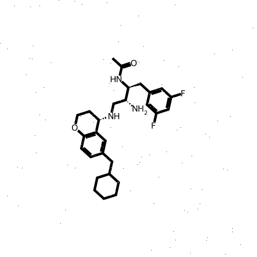 CC(=O)N[C@@H](Cc1cc(F)cc(F)c1)[C@H](N)CN[C@H]1CCOc2ccc(CC3CCCCC3)cc21